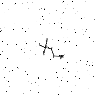 CC(C)CCC(C)(F)F